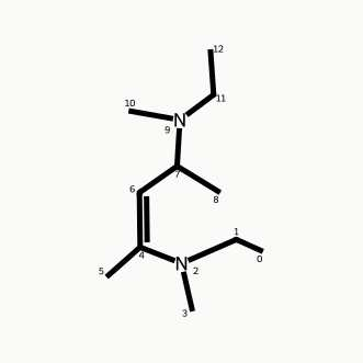 CCN(C)/C(C)=C\C(C)N(C)CC